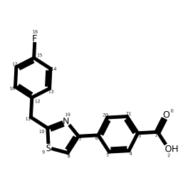 O=C(O)c1ccc(-c2csc(Cc3ccc(F)cc3)n2)cc1